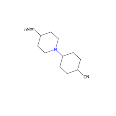 CCCCCCCCCC1CCN(C2CCC(C#N)CC2)CC1